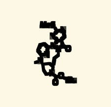 C=CCn1c(=O)c2cnc(SC)nc2n1-c1cccc(N(C)C2CCN(C(=O)OC(C)(C)C)CC2)n1